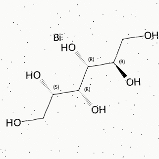 OC[C@@H](O)[C@@H](O)[C@H](O)[C@@H](O)CO.[Bi]